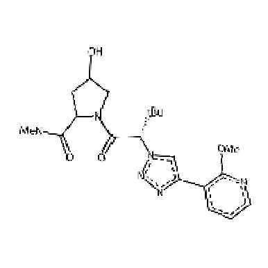 CNC(=O)C1CC(O)CN1C(=O)[C@@H](n1cc(-c2cccnc2OC)nn1)C(C)(C)C